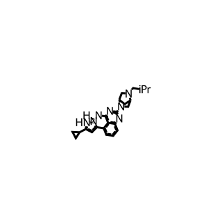 CC(C)CN1CC2CC1CN2c1nc(N)c2c(-c3cc(C4CC4)[nH]n3)cccc2n1